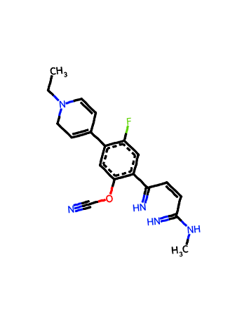 CCN1C=CC(c2cc(OC#N)c(C(=N)/C=C\C(=N)NC)cc2F)=CC1